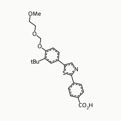 COCCOCOc1ccc(-c2cnc(-c3ccc(C(=O)O)cc3)s2)cc1C(C)(C)C